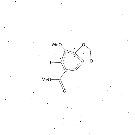 COC(=O)c1cc2c(c(OC)c1I)OCO2